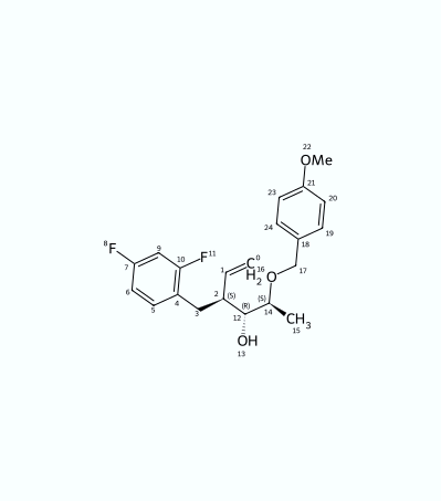 C=C[C@H](Cc1ccc(F)cc1F)[C@@H](O)[C@H](C)OCc1ccc(OC)cc1